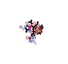 C=C(C)C(=O)OC(CC)(CCNC(N)=O)[Si](O[Si](C)(C)C)(O[Si](C)(C)C)O[Si](O[Si](C)(C)C)(O[Si](C)(C)C)C(CC)(CCNC(N)=O)OC(=O)C(=C)C